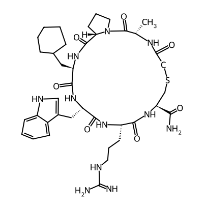 C[C@@H]1NC(=O)CSC[C@@H](C(N)=O)NC(=O)[C@H](CCCNC(=N)N)NC(=O)[C@H](Cc2c[nH]c3ccccc23)NC(=O)[C@@H](CC2CCCCC2)NC(=O)[C@@H]2CCCN2C1=O